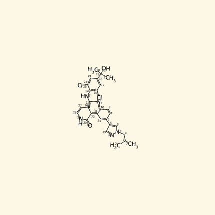 CC(C)Cn1cc(-c2ccc3nc(Nc4c(Cl)cc(C(C)(C)O)cc4Cl)c4cc[nH]c(=O)c4c3c2)cn1